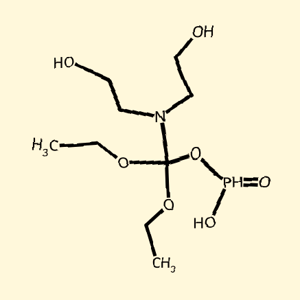 CCOC(OCC)(O[PH](=O)O)N(CCO)CCO